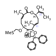 C/C=C(/C)[C@H]1C/C=C(\C)[C@@H](O[Si](c2ccccc2)(c2ccccc2)C(C)(C)C)[C@H](O)[C@H](OCSC)CC=C(C)C(=O)O1